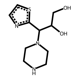 OCC(O)C(c1nccs1)N1CCNCC1